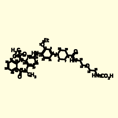 CCOc1cc(N2CCC(C(=O)NCCOCCNC(=O)O)CC2)ccc1Nc1ncc2c(n1)N(S(C)(=O)=O)c1ccccc1C(=O)N2C